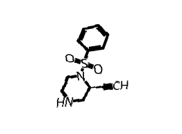 C#C[C@H]1CNCCN1S(=O)(=O)c1ccccc1